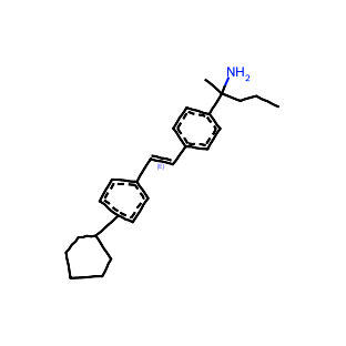 CCCC(C)(N)c1ccc(/C=C/c2ccc(C3CCCCC3)cc2)cc1